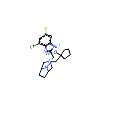 COC1(CCN2C3CCC2CN(Cc2nc4c(Cl)cc(F)cc4[nH]2)C3)CCCC1